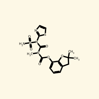 CN(C(=O)Oc1cccc2c1OC(C)(C)C2)C(=O)N(c1nccs1)S(N)(=O)=O